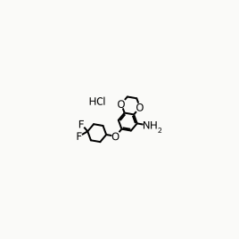 Cl.Nc1cc(OC2CCC(F)(F)CC2)cc2c1OCCO2